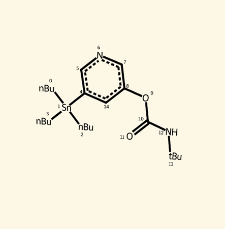 CCC[CH2][Sn]([CH2]CCC)([CH2]CCC)[c]1cncc(OC(=O)NC(C)(C)C)c1